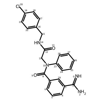 N=C(N)c1cccc(C(=O)N(CC(=O)NCc2ccc(Cl)cc2)c2ccccc2)c1